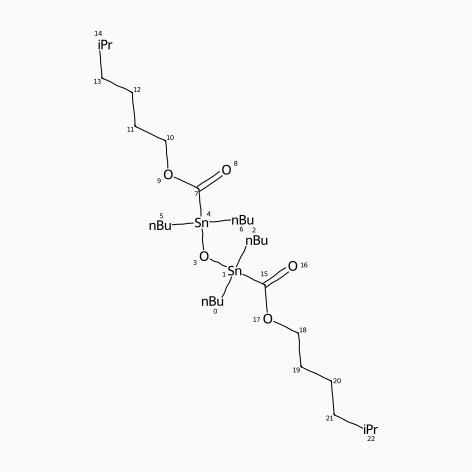 CCC[CH2][Sn]([CH2]CCC)([O][Sn]([CH2]CCC)([CH2]CCC)[C](=O)OCCCCC(C)C)[C](=O)OCCCCC(C)C